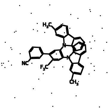 Cc1ccc2c3ccccc3n(-c3cc(-c4cccc(C#N)c4)c(C(F)(F)F)cc3-n3c4ccccc4c4ccc(C)cc43)c2c1